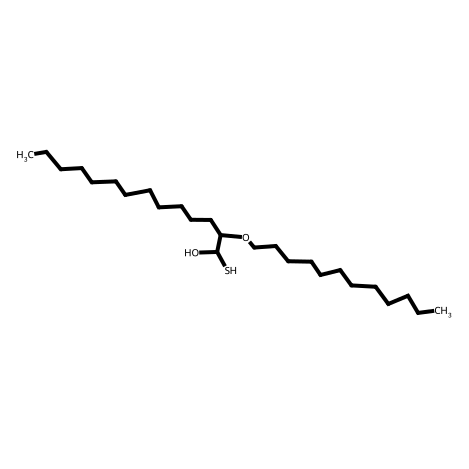 CCCCCCCCCCCCOC(CCCCCCCCCCCC)C(O)S